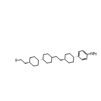 CCCc1ccc([C@H]2CC[C@H](CCC3CCC([C@H]4CC[C@H](CCF)CC4)CC3)CC2)cc1